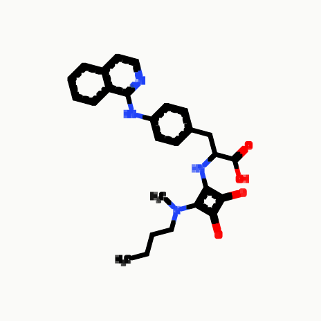 CCCCN(C)c1c(NC(Cc2ccc(Nc3nccc4ccccc34)cc2)C(=O)O)c(=O)c1=O